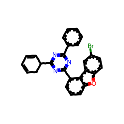 Brc1ccc2oc3cccc(-c4nc(-c5ccccc5)nc(C5C=CC=CC5)n4)c3c2c1